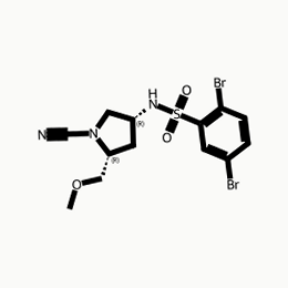 COC[C@H]1C[C@@H](NS(=O)(=O)c2cc(Br)ccc2Br)CN1C#N